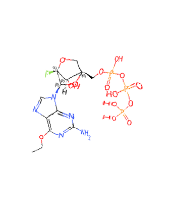 CCOc1nc(N)nc2c1ncn2[C@@H]1O[C@@]2(COP(=O)(O)OP(=O)(O)OP(=O)(O)O)CO[C@]1(F)[C@@H]2O